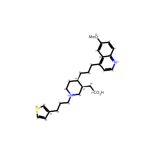 COc1ccc2nccc(CCC[C@@H]3CCN(CCCc4ccsc4)C[C@@H]3CC(=O)O)c2c1